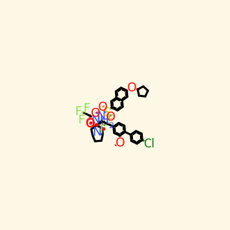 COc1cc(C(F)(F)[C@@H](C(=O)N2C3CCC2CC(N)C3)N(OC(=O)C(F)(F)F)S(=O)(=O)c2ccc3cc(OC4CCCC4)ccc3c2)ccc1-c1ccc(Cl)cc1